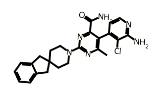 Cc1nc(N2CCC3(CC2)Cc2ccccc2C3)nc(C(N)=O)c1-c1ccnc(N)c1Cl